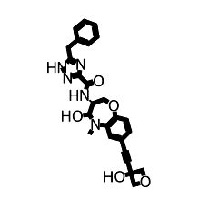 CN1c2cc(C#CC3(O)COC3)ccc2OC[C@@H](NC(=O)c2n[nH]c(Cc3ccccc3)n2)C1O